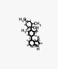 C[C@@H]1CN(C)C[C@H](C)C1(O)c1ccc(-c2ccnc3[nH]cc(F)c23)cc1F